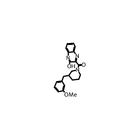 COc1cccc(CC2CCCN(C(=O)c3nc4ccccc4nc3O)C2)c1